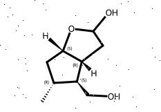 C[C@@H]1C[C@@H]2OC(O)C[C@@H]2[C@H]1CO